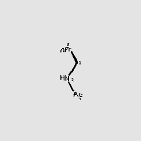 [CH]CCCNC(C)=O